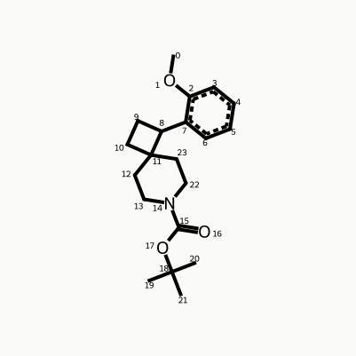 COc1ccccc1C1CCC12CCN(C(=O)OC(C)(C)C)CC2